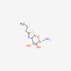 CCCC1=NC2C(O[C@H](CN)[C@@H](O)[C@@H]2O)S1